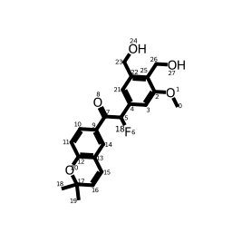 COc1cc(C([18F])C(=O)c2ccc3c(c2)C=CC(C)(C)O3)cc(CO)c1CO